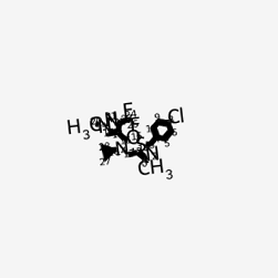 Cc1nc(-c2ccc(Cl)cc2)sc1CN(C(=O)c1cn(C)nc1C(F)F)C1CC1